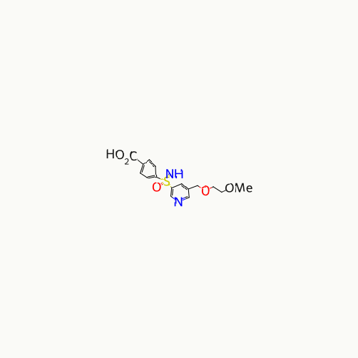 COCCOCc1cncc(S(=N)(=O)c2ccc(C(=O)O)cc2)c1